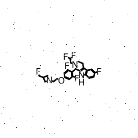 FCC1CN(CCOc2cc(F)c(C3c4[nH]c5ccc(F)cc5c4CCN3CC(F)F)c(F)c2)C1